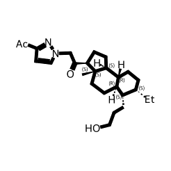 CC[C@H]1CC[C@@H]2[C@H](CC[C@]3(C)[C@@H](C(=O)Cn4ccc(C(C)=O)n4)CC[C@@H]23)[C@H]1CCCO